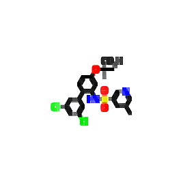 Cc1cncc(S(=O)(=O)Nc2cc(OC(C)(C)C(=O)O)ccc2-c2cc(Cl)cc(Cl)c2)c1